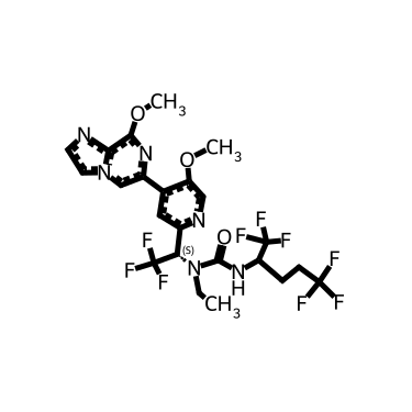 CCN(C(=O)NC(CCC(F)(F)F)C(F)(F)F)[C@@H](c1cc(-c2cn3ccnc3c(OC)n2)c(OC)cn1)C(F)(F)F